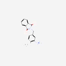 COc1ccc(CN2C(=O)c3ccccc3C2=O)cc1N=N